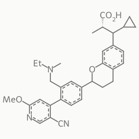 CCN(C)Cc1cc(C2CCc3ccc(C(C4CC4)[C@H](C)C(=O)O)cc3O2)ccc1-c1cc(OC)ncc1C#N